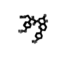 COCC(NC(=O)N1CC(=O)NC2=C1N=C(C1=CCN(C)CC1)CC2)c1ccc(OC(F)(F)F)cc1